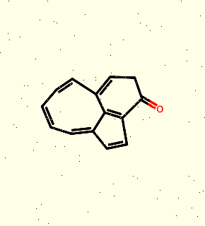 O=C1CC=C2C=CC=CC=C3C=CC1=C32